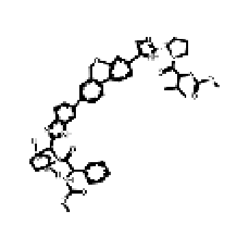 COC(=O)NC(C(=O)N1C(c2nc3ccc(-c4ccc5c(c4)COc4cc(-c6cnc([C@@H]7CCCN7C(=O)C(NC(=O)OC)C(C)C)[nH]6)ccc4-5)cc3[nH]2)[C@H]2CC[C@@H]1C2)c1ccccc1